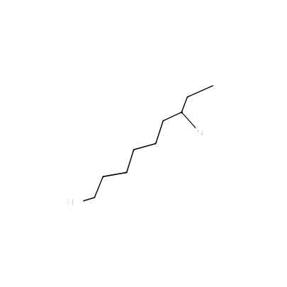 NC(CF)CCCCCCO